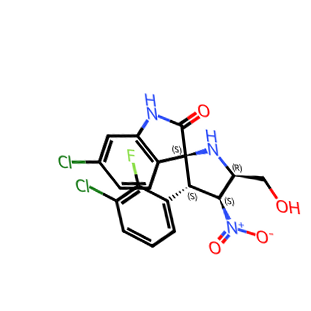 O=C1Nc2cc(Cl)ccc2[C@]12N[C@@H](CO)[C@@H]([N+](=O)[O-])[C@@H]2c1cccc(Cl)c1F